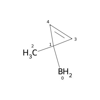 BC1(C)C=C1